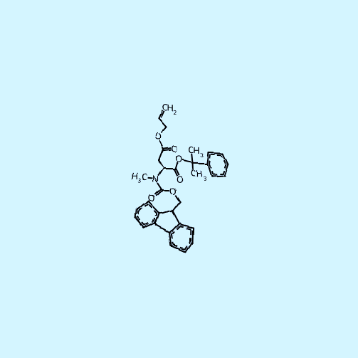 C=CCOC(=O)C[C@@H](C(=O)OC(C)(C)c1ccccc1)N(C)C(=O)OCC1c2ccccc2-c2ccccc21